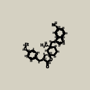 CCOc1cnc(CN2C[C@]3(CCC[C@](C)(Cn4cnc5ccc(C#N)cc54)C3)OC2=O)cn1